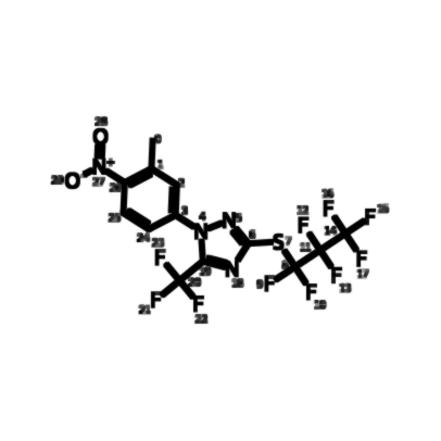 Cc1cc(-n2nc(SC(F)(F)C(F)(F)C(F)(F)F)nc2C(F)(F)F)ccc1[N+](=O)[O-]